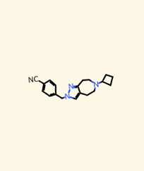 N#Cc1ccc(Cn2cc3c(n2)CCN(C2CCC2)CC3)cc1